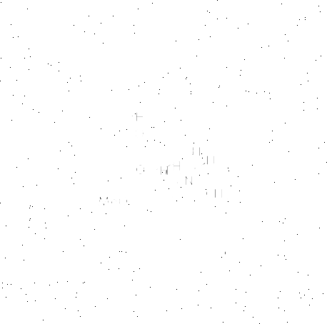 [2H]OC1C=C[C@H]2[C@@H]3N(C)CC[C@@]24c2c(ccc(OC)c2OC14)C3([2H])[2H]